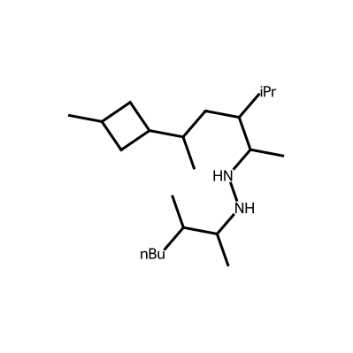 CCCCC(C)C(C)NNC(C)C(CC(C)C1CC(C)C1)C(C)C